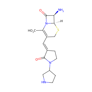 N[C@@H]1C(=O)N2C(C(=O)O)=C(/C=C3\CCN(C4CCNC4)C3=O)CS[C@H]12